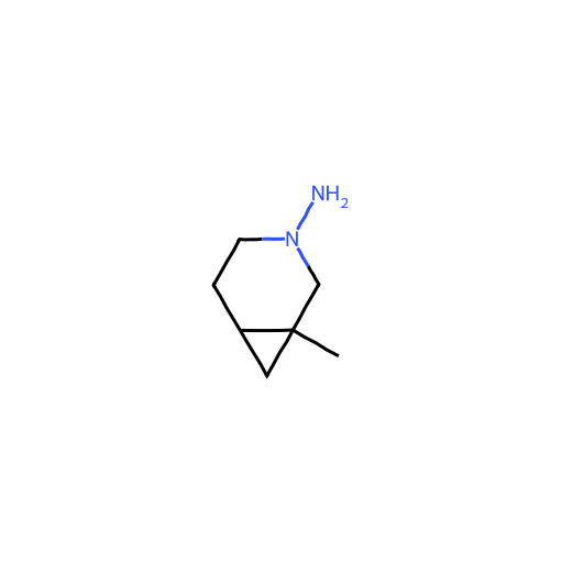 CC12CC1CCN(N)C2